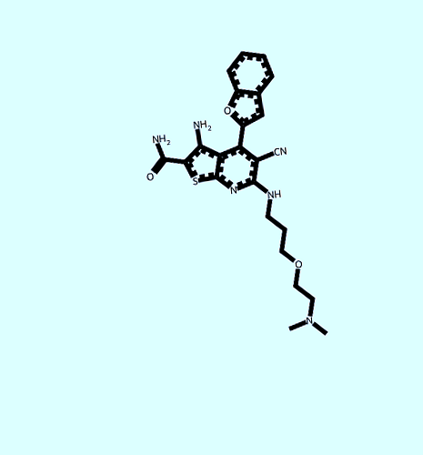 CN(C)CCOCCCNc1nc2sc(C(N)=O)c(N)c2c(-c2cc3ccccc3o2)c1C#N